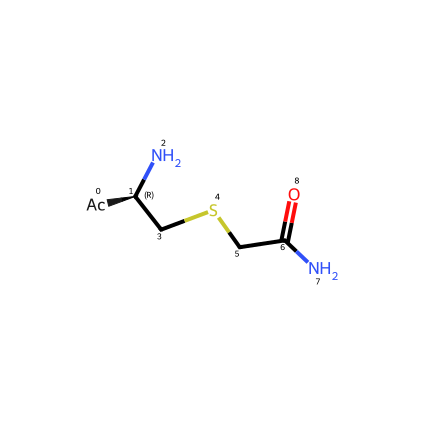 CC(=O)[C@@H](N)CSCC(N)=O